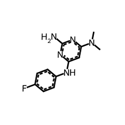 CN(C)c1cc(Nc2ccc(F)cc2)nc(N)n1